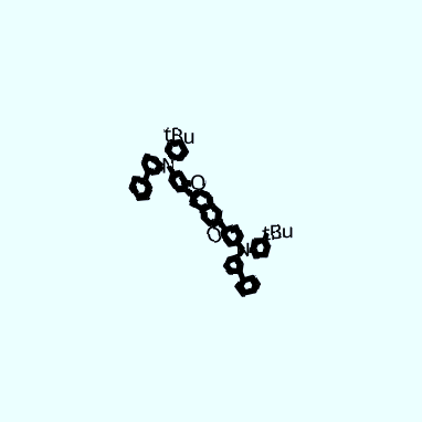 CC(C)(C)c1cccc(N(c2cccc(-c3ccccc3)c2)c2ccc3c(c2)oc2cc4cc5c(cc4cc23)oc2cc(N(c3cccc(-c4ccccc4)c3)c3cccc(C(C)(C)C)c3)ccc25)c1